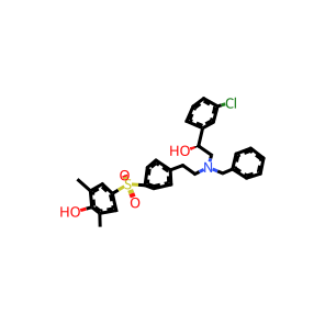 Cc1cc(S(=O)(=O)c2ccc(CCN(Cc3ccccc3)C[C@@H](O)c3cccc(Cl)c3)cc2)cc(C)c1O